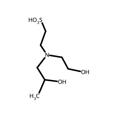 CC(O)CN(CCO)CCS(=O)(=O)O